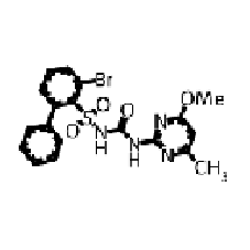 COc1cc(C)nc(NC(=O)NS(=O)(=O)c2c(Br)cccc2-c2ccccc2)n1